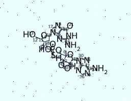 CC1(COP(O)(=S)O[C@@H]2[C@@H](F)[C@@H](CO)O[C@H]2n2cnc3c(=O)[nH]c(N)nc32)O[C@@H](n2cnc3c(N)ncnc32)[C@@H]2OO[C@@H]21